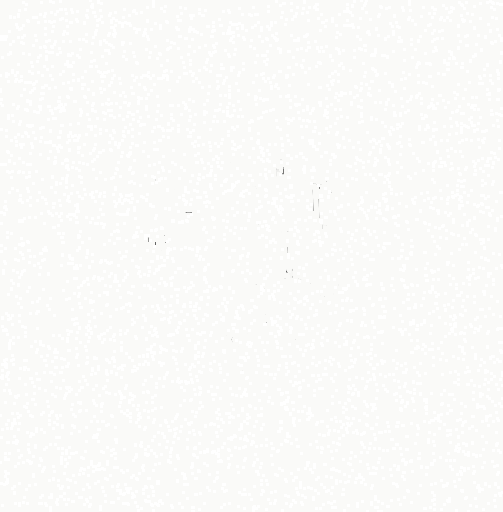 C=C(C)c1sc2c(N(Cc3ccco3)C(=O)O)cc(Cl)nc2c1C